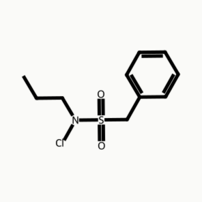 CCCN(Cl)S(=O)(=O)Cc1ccccc1